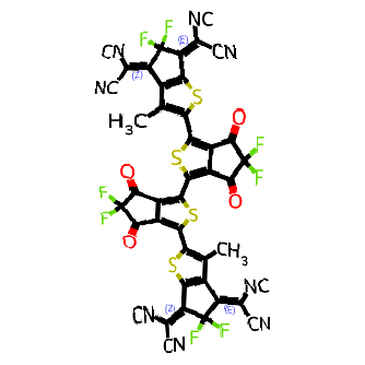 [C-]#[N+]/C(C#N)=C1/c2c(sc(-c3sc(-c4sc(-c5sc6c(c5C)/C(=C(/C#N)[N+]#[C-])C(F)(F)/C6=C(\C#N)[N+]#[C-])c5c4C(=O)C(F)(F)C5=O)c4c3C(=O)C(F)(F)C4=O)c2C)/C(=C(\C#N)[N+]#[C-])C1(F)F